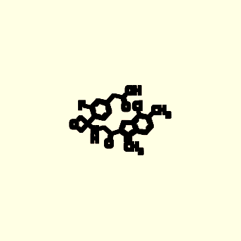 Cc1ccc2c(cc(C(=O)CNC3(c4ccc(CC(=O)O)cc4F)COC3)n2C)c1Cl